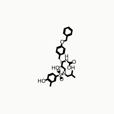 Cc1cc(S(=O)(=O)N(CC(C)C)C[C@H](O)[C@H](Cc2ccc(OCc3ccccc3)cc2)NC(=O)O)ccc1O